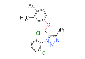 CC(=O)c1ccc(OCc2c(C(C)C)nnn2-c2c(Cl)cccc2Cl)cc1C